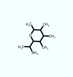 CC(N)C1OC(C)C(C)C(C)C1C